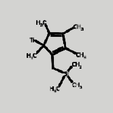 CC1=C(C)[C](C)([Ti])C(C[Si](C)(C)C)=C1C